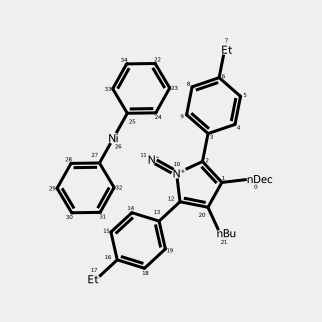 CCCCCCCCCCC1=C(c2ccc(CC)cc2)[N+](=[N-])C(c2ccc(CC)cc2)=C1CCCC.c1cc[c]([Ni][c]2ccccc2)cc1